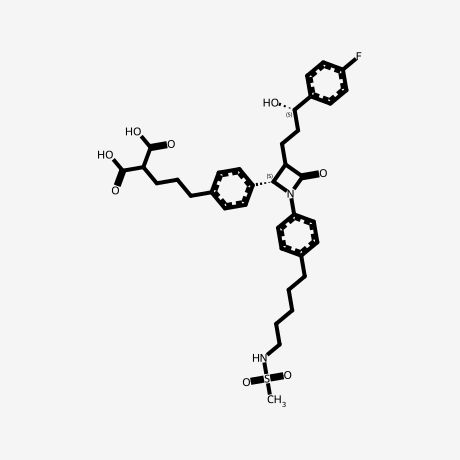 CS(=O)(=O)NCCCCCc1ccc(N2C(=O)C(CC[C@H](O)c3ccc(F)cc3)[C@H]2c2ccc(CCCC(C(=O)O)C(=O)O)cc2)cc1